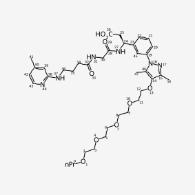 CCCOCCOCCOCCOCCOc1c(C)nn(-c2cccc([C@H](CC(=O)O)NC(=O)CNC(=O)CCCNc3cc(C)ccn3)c2)c1C